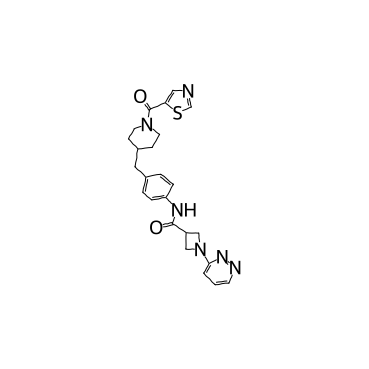 O=C(Nc1ccc(CC2CCN(C(=O)c3cncs3)CC2)cc1)C1CN(c2cccnn2)C1